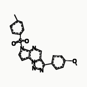 COc1ccc(-c2nnn3c2cnc2c3ccn2S(=O)(=O)c2ccc(C)cc2)cc1